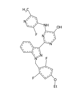 CCOc1cc(F)c(Cn2nc(-c3ncc(O)c(Nc4cc(C)ncc4F)n3)c3ccccc32)c(F)c1